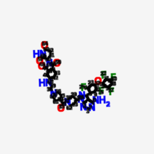 Nc1ncnc2c1c(-c1ccc(Oc3c(F)c(F)cc(F)c3F)cc1F)nn2C1CCN(C(=O)C2CCN(CCNc3ccc4c(c3)C(=O)N(C3CCC(=O)NC3=O)C4=O)CC2)CC1